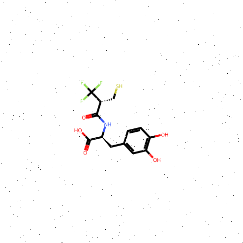 O=C(O)[C@H](Cc1ccc(O)c(O)c1)NC(=O)[C@@H](CS)C(F)(F)F